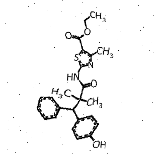 CCOC(=O)c1sc(NC(=O)C(C)(C)C(c2ccccc2)c2ccc(O)cc2)nc1C